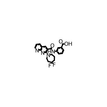 O=C(O)c1cccc(NC(=O)c2cc3cccnc3nc2N2CCCC(F)(F)CC2)c1